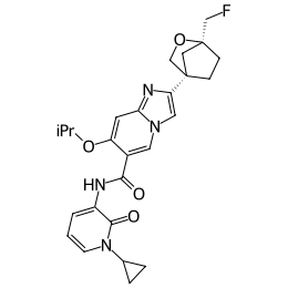 CC(C)Oc1cc2nc([C@@]34CC[C@@](CF)(C3)OC4)cn2cc1C(=O)Nc1cccn(C2CC2)c1=O